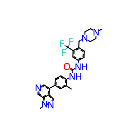 Cc1cc(-c2cncc3c2cnn3C)ccc1NC(=O)Nc1ccc(CN2CCN(C)CC2)c(C(F)(F)F)c1